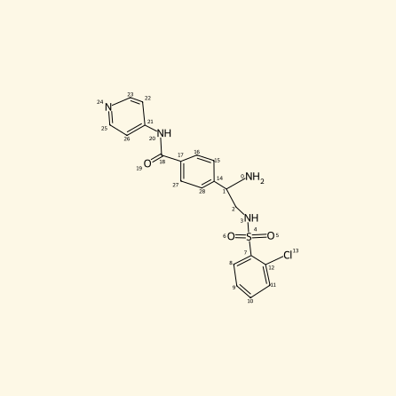 NC(CNS(=O)(=O)c1ccccc1Cl)c1ccc(C(=O)Nc2ccncc2)cc1